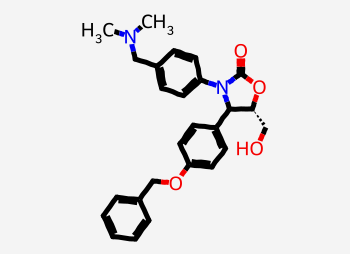 CN(C)Cc1ccc(N2C(=O)O[C@H](CO)C2c2ccc(OCc3ccccc3)cc2)cc1